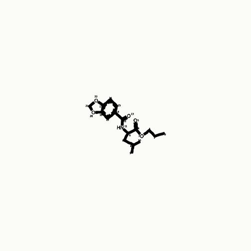 CCCOC(=O)C(CC(C)C)NC(=O)c1ccc2c(c1)OCO2